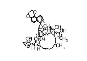 CC[C@@H]1C[C@H](C)CC/C=C\[C@@H]2C[C@@]2(C(=O)NS(=O)(=O)C2(C)CC2)NC(=O)[C@@H]2N(C[C@@](C)(Oc3nccc4c5c(ccc34)OCCO5)C2(F)F)C(=O)[C@H]1N(C(=O)O)C(C)C